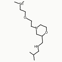 CC(C)CNCC1CN(CCOCC[SH](C)C)CCO1